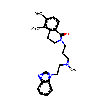 COc1ccc2c(c1OC)CCN(CCCN(C)CCn1cnc3ccccc31)C2=O